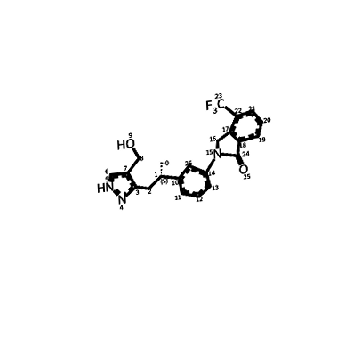 C[C@@H](Cc1n[nH]cc1CO)c1cccc(N2Cc3c(cccc3C(F)(F)F)C2=O)c1